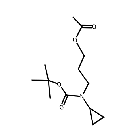 CC(=O)OCCCN(C(=O)OC(C)(C)C)C1CC1